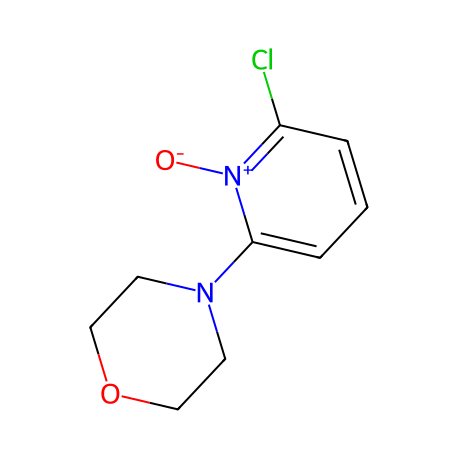 [O-][n+]1c(Cl)cccc1N1CCOCC1